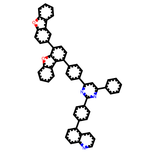 c1ccc(-c2cc(-c3ccc(-c4ccc(-c5ccc6oc7ccccc7c6c5)c5oc6ccccc6c45)cc3)nc(-c3ccc(-c4cccc5ncccc45)cc3)n2)cc1